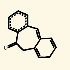 O=C1CC2=CCC=CC2=Cc2ccccc21